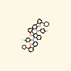 Fc1ccc(N(c2cccc3c2oc2c(C4CCCCC4)cccc23)c2c3ccccc3c(N(c3ccc(F)cc3)c3cccc4c3oc3c(C5CCCCC5)cccc34)c3c2oc2ccccc23)cc1